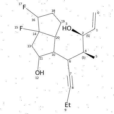 C=C[C@H](O)[C@@H](C)C(C#CCC)C1C(O)CC2(F)C(F)[C]CC12